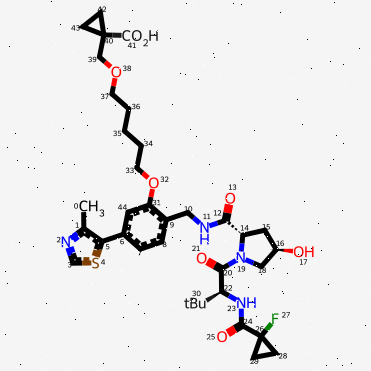 Cc1ncsc1-c1ccc(CNC(=O)[C@@H]2C[C@@H](O)CN2C(=O)[C@@H](NC(=O)C2(F)CC2)C(C)(C)C)c(OCCCCCOCC2(C(=O)O)CC2)c1